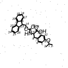 CC(C)Oc1ccc(CC(NC(=O)OCC2c3ccccc3-c3ccccc32)C(=O)O)cc1